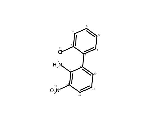 Nc1c(-c2ccccc2Cl)cccc1[N+](=O)[O-]